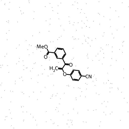 C=C(Oc1ccc(C#N)cc1)C(=O)c1cccc(C(=O)OC)c1